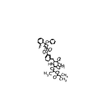 CC(OC(=O)NC(Cc1cccc(S(=O)(=O)N2CC(Oc3ccccc3)(c3ccccc3F)C2)c1)C(=O)O)OC(=O)C(C)C